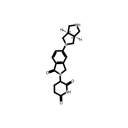 O=C1CCC(N2Cc3cc(N4C[C@H]5CNC[C@H]5C4)ccc3C2=O)C(=O)N1